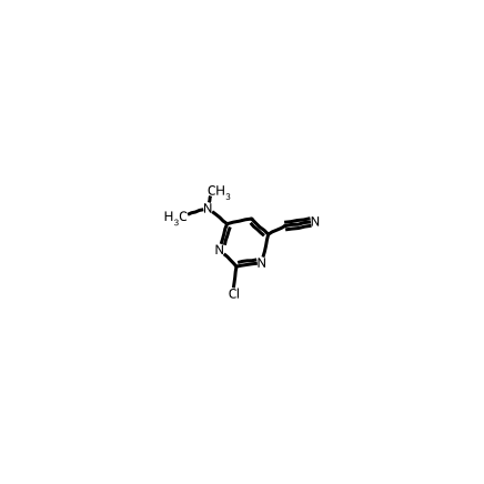 CN(C)c1cc(C#N)nc(Cl)n1